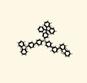 c1ccc(C2(c3ccc(N(c4ccc(-c5ccc(-n6c7ccccc7c7ccccc76)cc5)cc4)c4ccc(-c5cccc(-c6cccc7c6oc6ccccc67)c5)cc4)cc3)c3ccccc3-c3ccccc32)cc1